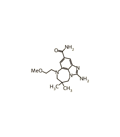 COCCN1CC(C)(C)Cn2c(N)nc3cc(C(N)=O)cc1c32